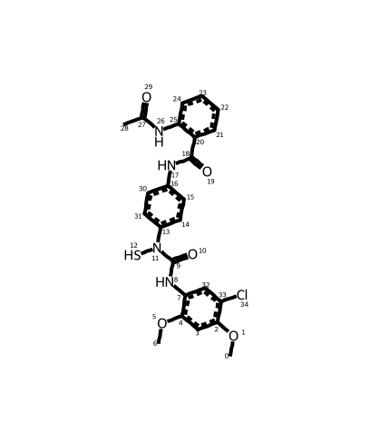 COc1cc(OC)c(NC(=O)N(S)c2ccc(NC(=O)c3ccccc3NC(C)=O)cc2)cc1Cl